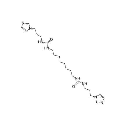 O=C(NCCCCCCCCNC(=O)NCCCn1ccnc1)NCCCn1ccnc1